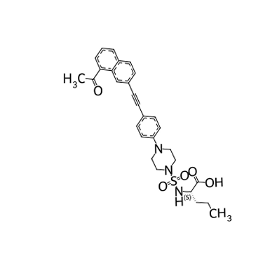 CCC[C@H](NS(=O)(=O)N1CCN(c2ccc(C#Cc3ccc4cccc(C(C)=O)c4c3)cc2)CC1)C(=O)O